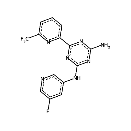 Nc1nc(Nc2cncc(F)c2)nc(-c2cccc(C(F)(F)F)n2)n1